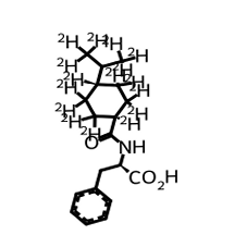 [2H]C([2H])([2H])C(C([2H])([2H])[2H])[C@]1([2H])C([2H])([2H])C([2H])([2H])[C@@]([2H])(C(=O)N[C@H](Cc2ccccc2)C(=O)O)C([2H])([2H])C1([2H])[2H]